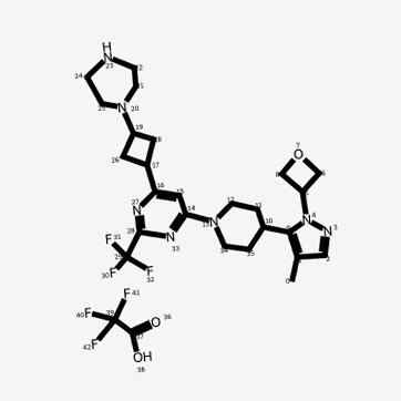 Cc1cnn(C2COC2)c1C1CCN(c2cc(C3CC(N4CCNCC4)C3)nc(C(F)(F)F)n2)CC1.O=C(O)C(F)(F)F